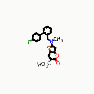 CN(Cc1ccccc1-c1ccc(F)cc1)c1cc2oc(=O)c(C(=O)O)cc2s1